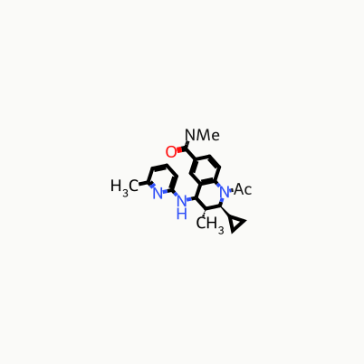 CNC(=O)c1ccc2c(c1)C(Nc1cccc(C)n1)[C@@H](C)[C@H](C1CC1)N2C(C)=O